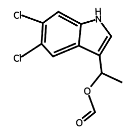 CC(OC=O)c1c[nH]c2cc(Cl)c(Cl)cc12